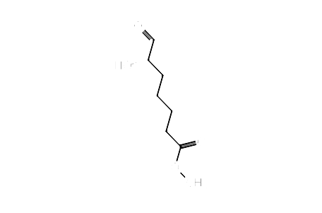 COC(=O)CCCC[C@H](O)C=O